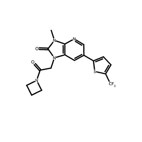 Cn1c(=O)n(CC(=O)N2CCC2)c2cc(-c3ccc(C(F)(F)F)s3)cnc21